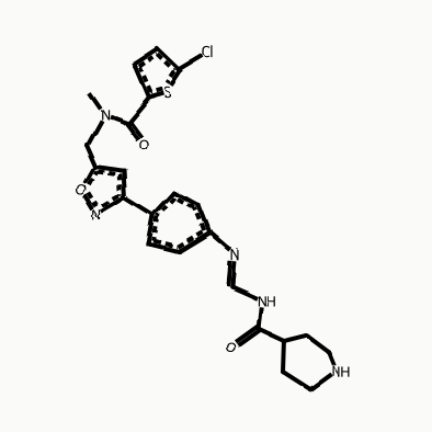 CN(Cc1cc(-c2ccc(N=CNC(=O)C3CCNCC3)cc2)no1)C(=O)c1ccc(Cl)s1